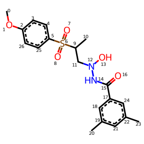 COc1ccc(S(=O)(=O)C(C)CN(O)NC(=O)c2cc(C)cc(C)c2)cc1